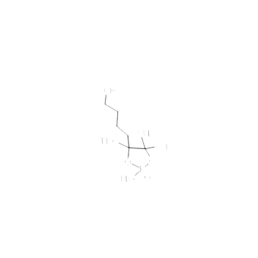 CCCCCC1(C)OP(=O)(O)OC1(C)C